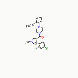 CCOC(=O)c1ccccc1N1CCN(C(=O)C2CN(C(C)(C)C)C[C@H]2c2ccc(F)cc2F)CC1